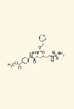 COC(=O)c1ccc(NC(=O)C(CCCCNS(N)(=O)=O)NC(=O)OCc2ccccc2)cc1